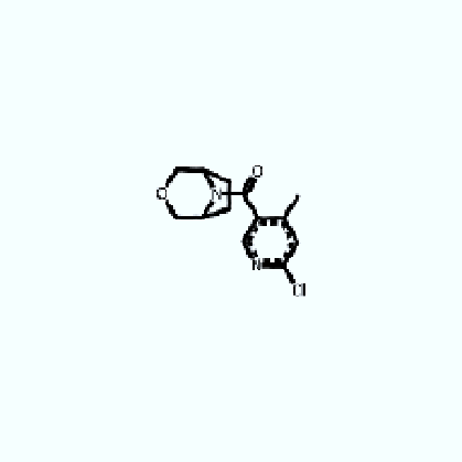 Cc1cc(Cl)ncc1C(=O)N1C2CCC1COC2